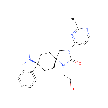 CN(C)[C@]1(c2ccccc2)CC[C@@]2(CC1)CN(c1ccnc(C#N)n1)C(=O)N2CCO